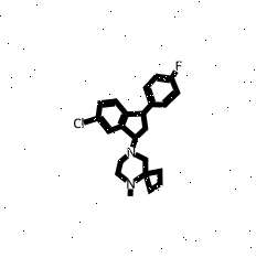 CN1CCN(C2CC(c3ccc(F)cc3)c3ccc(Cl)cc32)CC12CCC2